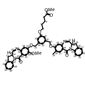 COC(=O)CCCCOc1cc(COc2cc3c(cc2C)C(=O)N2c4ccccc4C[C@H]2C=N3)cc(COc2cc3c(cc2OC)C(=O)N2c4ccccc4C[C@H]2C=N3)c1